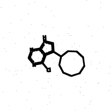 Clc1ncnc2[nH]cc(C3CCCCCCCC3)c12